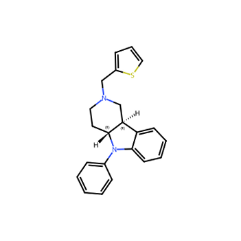 c1ccc(N2c3ccccc3[C@@H]3CN(Cc4cccs4)CC[C@H]32)cc1